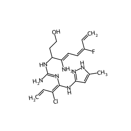 C=C/C(F)=C\C=C(/N)C(CCO)N/C(N)=N/C(Nc1cc(C)[nH]n1)=C(/Cl)C=C